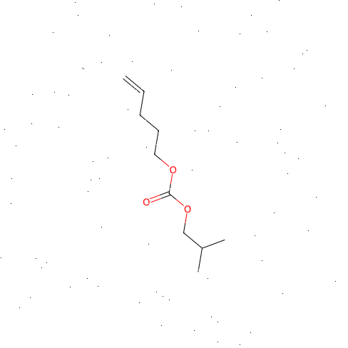 C=CCCCOC(=O)OCC(C)C